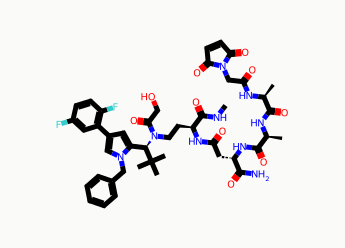 CNC(=O)[C@H](CCN(C(=O)CO)[C@@H](c1cc(-c2cc(F)ccc2F)cn1Cc1ccccc1)C(C)(C)C)NC(=O)C[C@H](NC(=O)[C@H](C)NC(=O)[C@H](C)NC(=O)CN1C(=O)C=CC1=O)C(N)=O